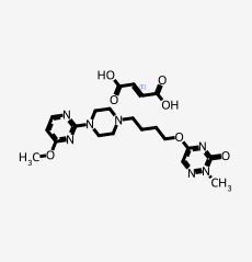 COc1ccnc(N2CCN(CCCCOc3cnn(C)c(=O)n3)CC2)n1.O=C(O)/C=C/C(=O)O